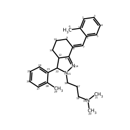 Cc1ccccc1C=C1CCCC2C1=NN(CCCN(C)C)C2c1ccccc1C